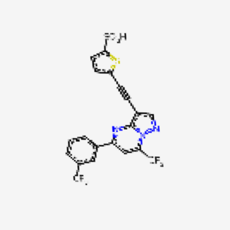 O=S(=O)(O)c1ccc(C#Cc2cnn3c(C(F)(F)F)cc(-c4cccc(C(F)(F)F)c4)nc23)s1